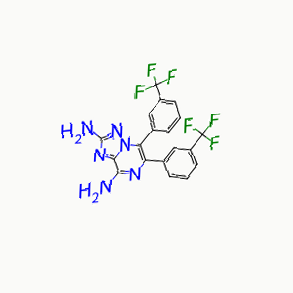 Nc1nc2c(N)nc(-c3cccc(C(F)(F)F)c3)c(-c3cccc(C(F)(F)F)c3)n2n1